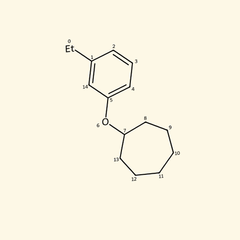 [CH2]Cc1cccc(OC2CCCCCC2)c1